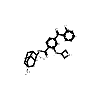 O=C(c1ccc(C(=O)N[C@H]2C3CC4CC2C[C@](O)(C4)C3)c(OC2COC2)c1)c1ccccc1F